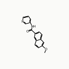 COc1ccc2cc(C(=O)Nc3cccnc3)ccc2c1